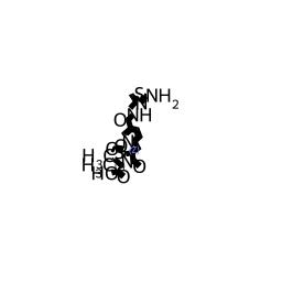 CC1(C)[C@H](C(=O)O)N2C(=O)/C(=C/c3ccc(C(=O)NCc4csc(N)n4)cn3)C2S1(=O)=O